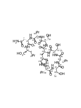 CC(C)C[C@H](NC(=O)[C@H](CC(N)=O)NC(=O)[C@@H](NC(=O)[C@H](CO)NC(=O)[C@H](Cc1c[nH]cn1)NC(=O)[C@@H](NC(=O)[C@@H](NC(=O)[C@@H](NC(=O)[C@@H](N)C(C)C)[C@@H](C)O)C(C)C)[C@@H](C)O)C(C)C)C(=O)O